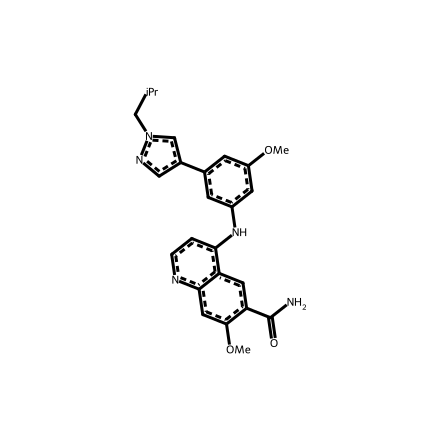 COc1cc(Nc2ccnc3cc(OC)c(C(N)=O)cc23)cc(-c2cnn(CC(C)C)c2)c1